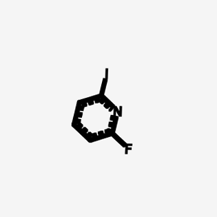 Fc1cccc(I)n1